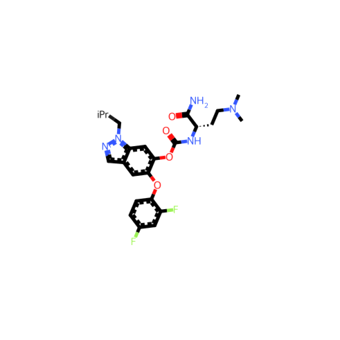 CC(C)Cn1ncc2cc(Oc3ccc(F)cc3F)c(OC(=O)N[C@@H](CCN(C)C)C(N)=O)cc21